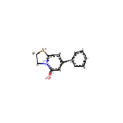 O=c1cc(-c2ccccc2)cc2n1CCS2